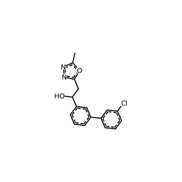 Cc1nnc(CC(O)c2cccc(-c3cccc(Cl)c3)c2)o1